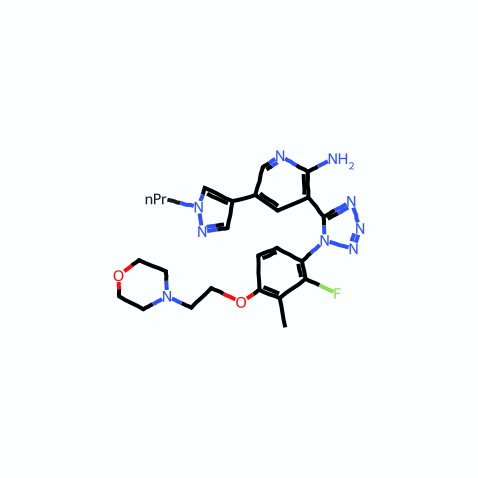 CCCn1cc(-c2cnc(N)c(-c3nnnn3-c3ccc(OCCN4CCOCC4)c(C)c3F)c2)cn1